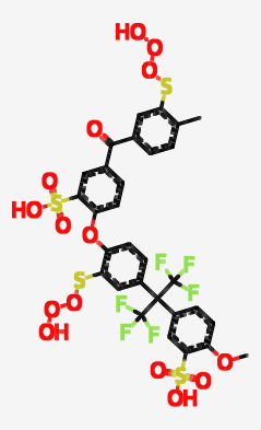 COc1ccc(C(c2ccc(Oc3ccc(C(=O)c4ccc(C)c(SOOO)c4)cc3S(=O)(=O)O)c(SOOO)c2)(C(F)(F)F)C(F)(F)F)cc1S(=O)(=O)O